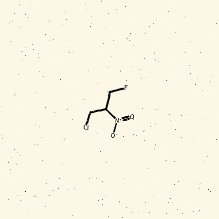 O=[N+]([O-])C([CH]F)CCl